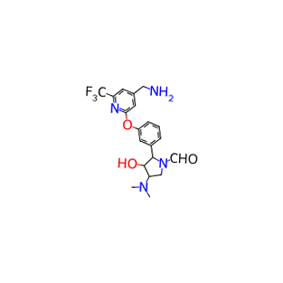 CN(C)C1CN(C=O)C(c2cccc(Oc3cc(CN)cc(C(F)(F)F)n3)c2)C1O